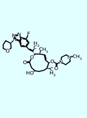 C/C(=C\c1cc(F)c2nnn([C@@H]3CCCOC3)c2c1)[C@H]1OC(=O)C[C@H](O)CC[C@H](C)[C@@H](OC(=O)N2CCN(C)CC2)/C=C/[C@@H]1C